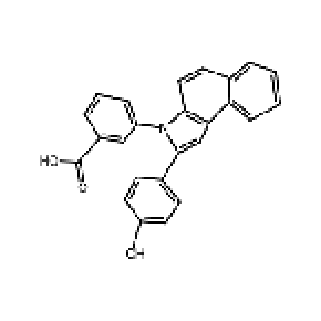 O=C(O)c1cccc(-n2c(-c3ccc(O)cc3)cc3c4ccccc4ccc32)c1